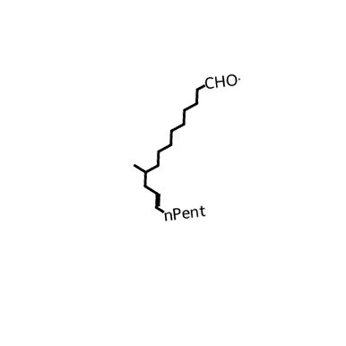 CCCCC/C=C/CC(C)CCCCCCCC[C]=O